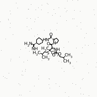 CC(C)COC(=O)N[C@@H](C(=O)N1CCC[C@H]1C(=O)NC[C@H]1CC[C@H](C(=N)N)CC1)C(C)(C)SCC(C)C